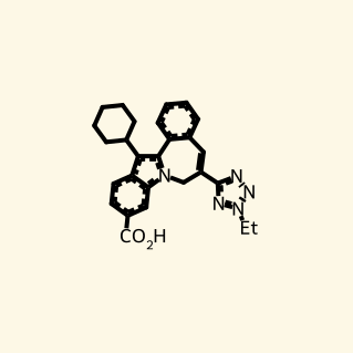 CCn1nnc(C2=Cc3ccccc3-c3c(C4CCCCC4)c4ccc(C(=O)O)cc4n3C2)n1